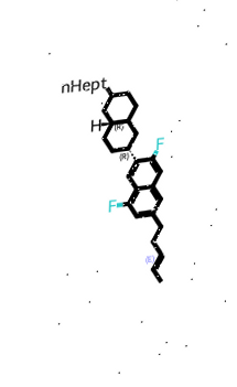 C/C=C/CCc1cc(F)c2cc([C@@H]3CC[C@@H]4CC(CCCCCCC)CCC4C3)c(F)cc2c1